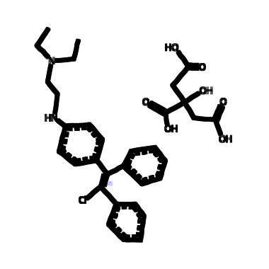 CCN(CC)CCNc1ccc(/C(=C(\Cl)c2ccccc2)c2ccccc2)cc1.O=C(O)CC(O)(CC(=O)O)C(=O)O